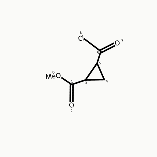 COC(=O)C1CC1C(=O)Cl